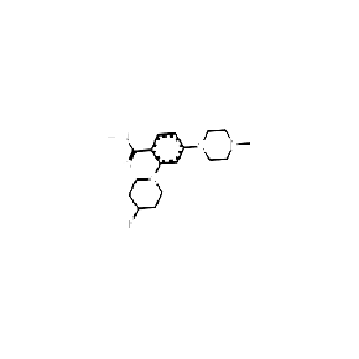 CN1CCN(c2ccc(C(N)=O)c(N3CCC(F)CC3)c2)CC1